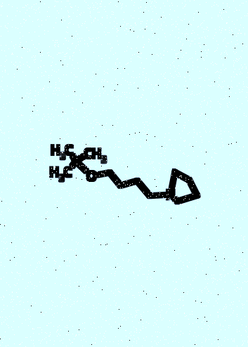 CC(C)(C)OCCCCN1CCCC1